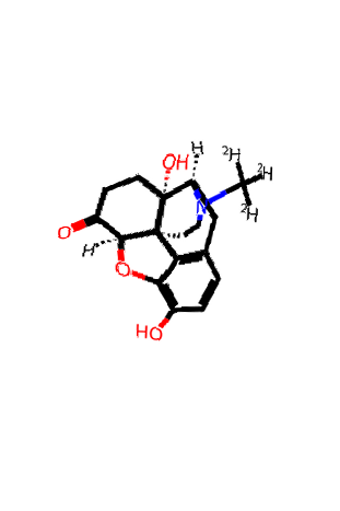 [2H]C([2H])([2H])N1CC[C@]23c4c5ccc(O)c4O[C@H]2C(=O)CC[C@@]3(O)[C@H]1C5